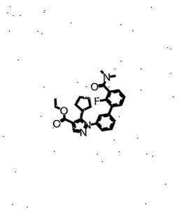 CCOC(=O)c1cnn(-c2cccc(-c3cccc(C(=O)N(C)C)c3F)c2)c1C1CCCC1